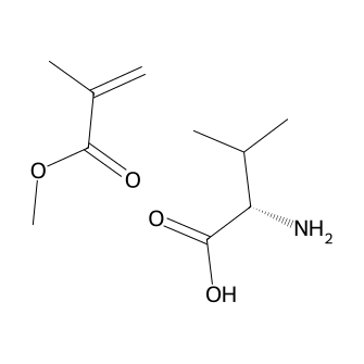 C=C(C)C(=O)OC.CC(C)[C@H](N)C(=O)O